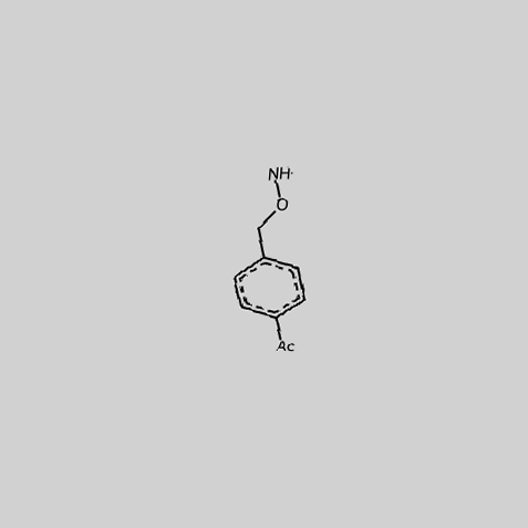 CC(=O)c1ccc(CO[NH])cc1